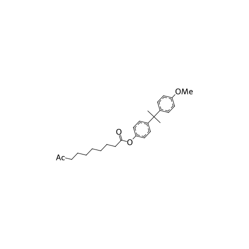 COc1ccc(C(C)(C)c2ccc(OC(=O)CCCCCCCC(C)=O)cc2)cc1